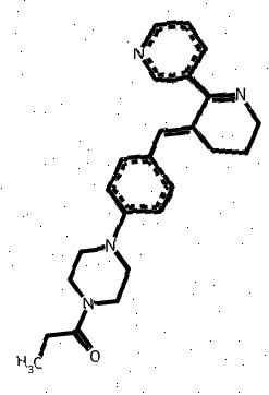 CCC(=O)N1CCN(c2ccc(/C=C3\CCCN=C3c3cccnc3)cc2)CC1